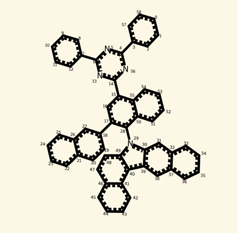 c1ccc(-c2nc(-c3ccccc3)nc(-c3cc(-c4ccc5ccccc5c4)c(-n4c5cc6ccccc6cc5c5c6ccccc6ccc54)c4ccccc34)n2)cc1